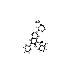 COc1cccc(-c2ccc3nc(-c4cccnc4)nc(Nc4c(F)cccc4F)c3c2)c1